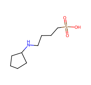 O=S(=O)(O)CCCCNC1CCCC1